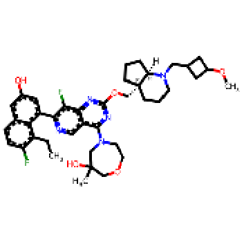 CCc1c(F)ccc2cc(O)cc(-c3ncc4c(N5CCOCC(C)(O)C5)nc(OC[C@]56CCC[C@H]5N(CC5CC(OC)C5)CCC6)nc4c3F)c12